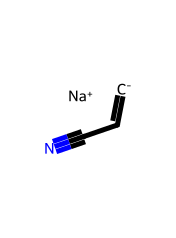 [CH-]=CC#N.[Na+]